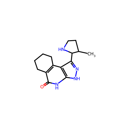 CC1CCNC1c1n[nH]c2[nH]c(=O)c3c(c12)CCCC3